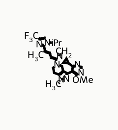 C=N/C(=C\C=C(/C)c1nc(C(F)(F)F)cn1C(C)C)N1CCc2c(c(-c3c(OC)ncnc3C3CC3)nn2C)C1